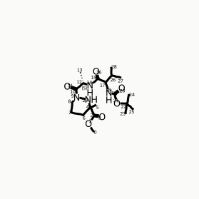 COC(=O)C1(C)CCCN(C(=O)[C@H](C)NC(=O)C(NC(=O)OC(C)(C)C)C(C)C)N1